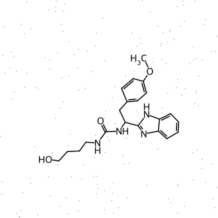 COc1ccc(CC(NC(=O)NCCCCO)c2nc3ccccc3[nH]2)cc1